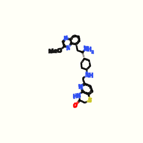 COc1cnc2cccc(CC(N)[C@H]3CC[C@H](NCc4ccc5c(n4)NC(=O)CS5)CC3)c2n1